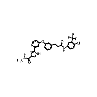 CNC(=O)C1CNC(c2cc(Oc3cccc(CCC(=O)Nc4ccc(Cl)c(C(F)(F)F)c4)c3)ccn2)=N1